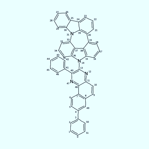 c1ccc(-c2ccc3c(ccc4nc(-n5c6cccc7c8cccc9c%10ccccc%10n(c%10cccc5c%10c76)c89)c(-c5ccccc5)nc43)c2)cc1